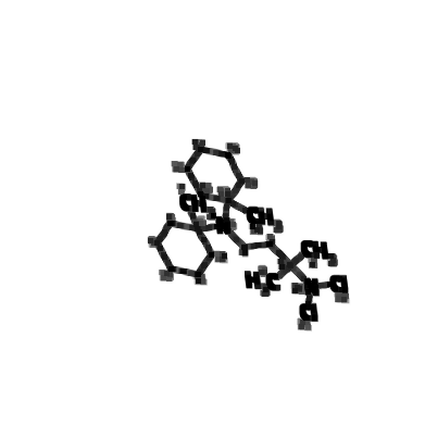 CC(C)(CCN(C1(C)CCCCC1)C1(C)CCCCC1)N(Cl)Cl